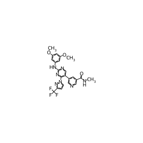 CNC(=O)c1cncc(-c2cnc(Nc3cc(OC)cc(OC)c3)nc2-n2ccc(C(F)(F)F)n2)c1